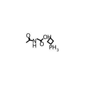 C1CCC1.CC(=O)NCC(=O)O.P